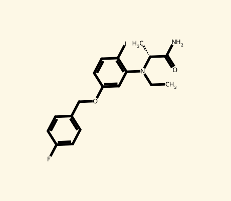 CCN(c1cc(OCc2ccc(F)cc2)ccc1I)[C@H](C)C(N)=O